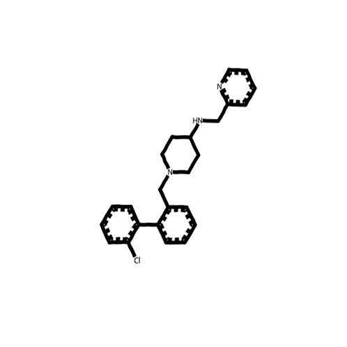 Clc1ccccc1-c1ccccc1CN1CCC(NCc2ccccn2)CC1